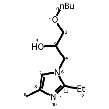 CCCCOCC(O)CN1C=C(C)[N+]=C1CC